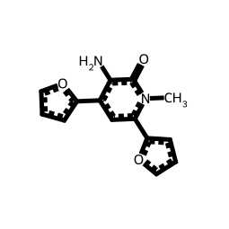 Cn1c(-c2ccco2)cc(-c2ccco2)c(N)c1=O